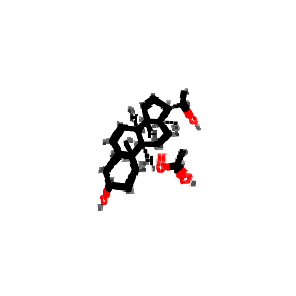 CC(=O)O.CC(=O)[C@H]1CC[C@H]2[C@@H]3C=CC4=CC(=O)CC[C@@]4(C)[C@@H]3CC[C@]12C